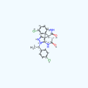 CC(c1ccc(Cl)cc1)n1ncc2c1NC(=O)C[C@]21C(=O)Nc2ccc(Cl)cc21